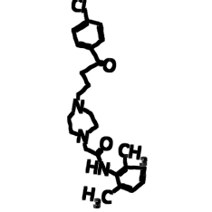 Cc1cccc(C)c1NC(=O)CN1CCN(CCCC(=O)c2ccc(Cl)cc2)CC1